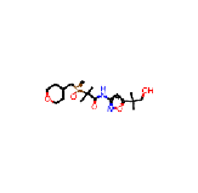 C=S(=O)(CC1CCOCC1)C(C)(C)C(=O)Nc1cc(C(C)(C)CO)on1